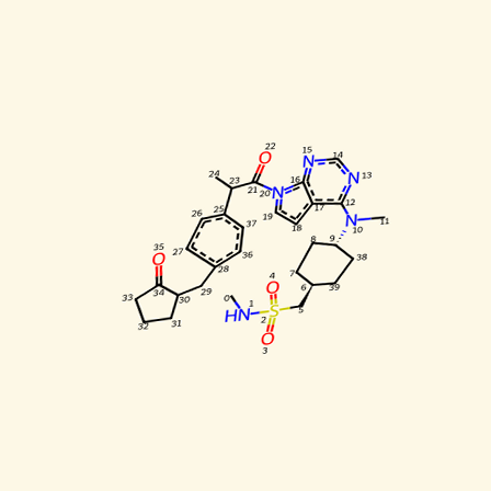 CNS(=O)(=O)C[C@H]1CC[C@H](N(C)c2ncnc3c2ccn3C(=O)C(C)c2ccc(CC3CCCC3=O)cc2)CC1